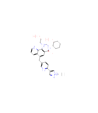 Cn1cc(-c2ccc(Cc3cc4c(c5ncccc35)N(CCO)CN([C@H]3CCCC[C@@H]3O)C4=O)cn2)cn1